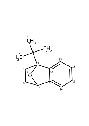 CC(C)(C)C12CCC(O1)c1ccccc12